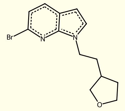 Brc1ccc2ccn(CCC3CCOC3)c2n1